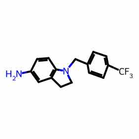 Nc1ccc2c(c1)CCN2Cc1ccc(C(F)(F)F)cc1